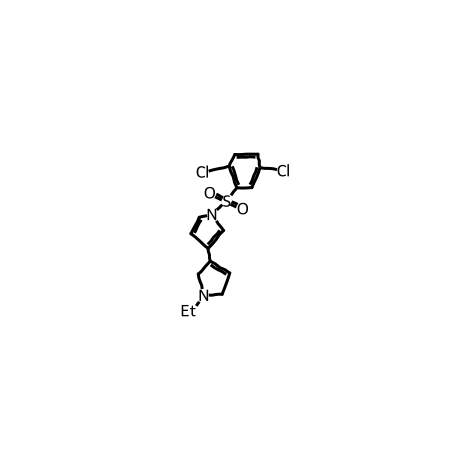 CCN1CC=C(c2ccn(S(=O)(=O)c3cc(Cl)ccc3Cl)c2)C1